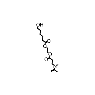 C=C(C)N(C)CCC(=O)OCCOC(=O)CCCCCO